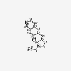 CC(C)CN1CC[C@H](Sc2cc3ccncc3cc2Cl)C1